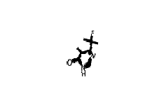 Cc1c(C(C)(C)F)nc[nH]c1=O